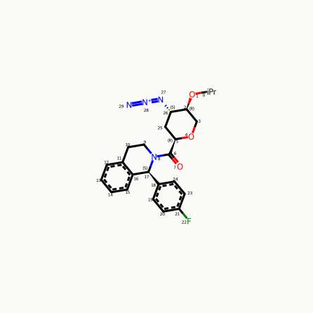 CC(C)O[C@H]1CO[C@@H](C(=O)N2CCc3ccccc3[C@@H]2c2ccc(F)cc2)C[C@@H]1N=[N+]=[N-]